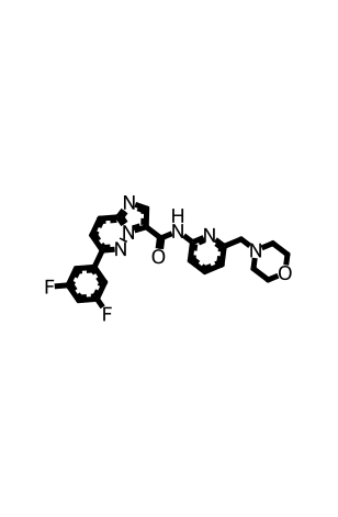 O=C(Nc1cccc(CN2CCOCC2)n1)c1cnc2ccc(-c3cc(F)cc(F)c3)nn12